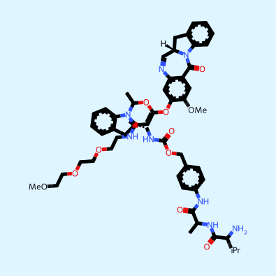 C=C(/C=C(/Oc1cc2c(cc1OC)C(=O)N1c3ccccc3C[C@H]1C=N2)OC(C)N1c2ccccc2C[C@H]1CNC(=O)OCc1ccc(NC(=O)C(C)NC(=O)C(N)C(C)C)cc1)NCCOCCOCCOC